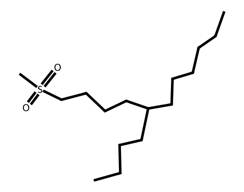 CCCCCCC(CCCC)CCCCS(C)(=O)=O